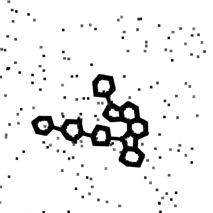 c1ccc(-c2cnc(-c3ccc(-n4c5ccccc5c5ccc6ccc7c(ccn7-c7ccccc7)c6c54)cc3)nc2)cc1